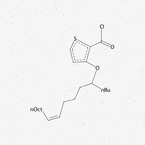 CCCCCCCC/C=C\CCCC(CCCC)Oc1ccsc1C(=O)Cl